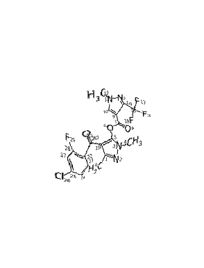 Cc1nn(C)c(OC(=O)c2cn(C)nc2C(F)(F)F)c1C(=O)c1ccc(Cl)cc1F